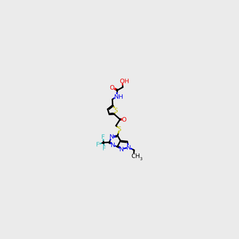 CCn1cc2c(SCC(=O)c3ccc(CNC(=O)CO)s3)nc(C(F)(F)F)nc2n1